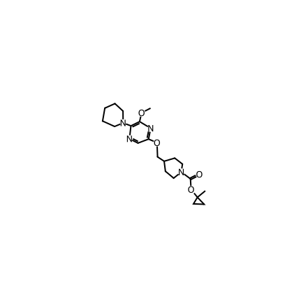 COc1nc(OCC2CCN(C(=O)OC3(C)CC3)CC2)cnc1N1CCCCC1